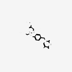 COCP(=O)(N[C@@H](C)C(=O)OC(C)C)Oc1ccc(Cn2cc(F)c(=O)[nH]c2=O)cc1